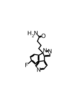 NC(=O)CCCC1(c2ccc(F)cc2)N=NC=C1c1ccncc1